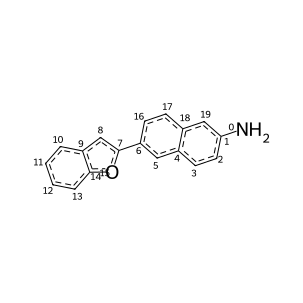 Nc1ccc2cc(-c3cc4ccccc4o3)ccc2c1